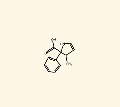 CN1C=CNC1(C(=O)O)c1ccccc1